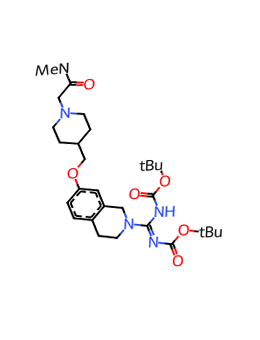 CNC(=O)CN1CCC(COc2ccc3c(c2)CN(C(=NC(=O)OC(C)(C)C)NC(=O)OC(C)(C)C)CC3)CC1